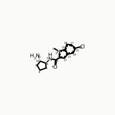 Cn1c(C(=O)N[C@H]2CCC[C@@H]2N)cc2cc(Cl)ccc21